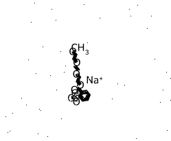 COCCOCCOCCOC(=O)c1ccccc1S(=O)(=O)[O-].[Na+]